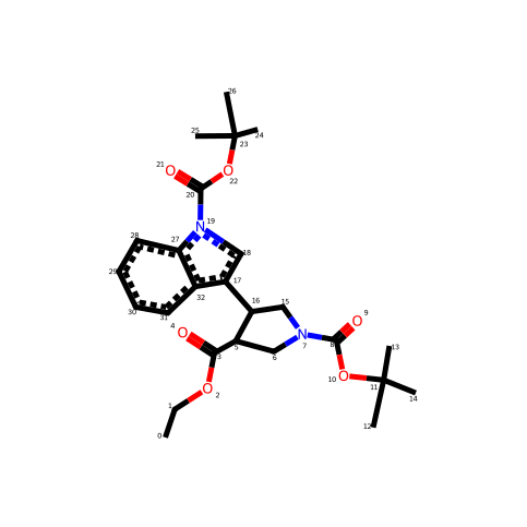 CCOC(=O)C1CN(C(=O)OC(C)(C)C)CC1c1cn(C(=O)OC(C)(C)C)c2ccccc12